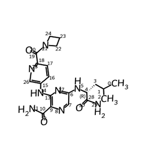 CC(C)C[C@@H](Nc1cnc(C(N)=O)c(Nc2ccc(C(=O)N3CCC3)nc2)n1)C(N)=O